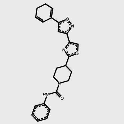 O=C(Nc1ccccc1)N1CCC(c2nc(-c3cc(C4=CCCC=C4)on3)cs2)CC1